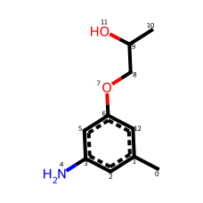 Cc1cc(N)cc(OCC(C)O)c1